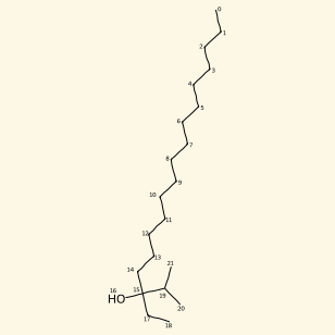 CCCCCCCCCCCCCCCC(O)(CC)C(C)C